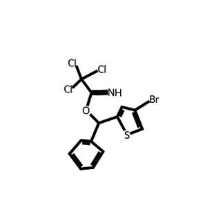 N=C(OC(c1ccccc1)c1cc(Br)cs1)C(Cl)(Cl)Cl